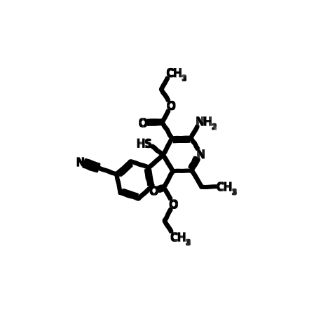 CCOC(=O)C1=C(N)N=C(CC)C(C(=O)OCC)C1(S)c1cccc(C#N)c1